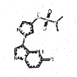 CN(C)S(=O)(=O)Nc1cnn(-c2cnn3ccc(=O)[nH]c23)c1